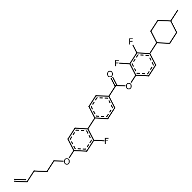 C=CCCCOc1ccc(-c2ccc(C(=O)Oc3ccc(C4CCC(C)CC4)c(F)c3F)cc2)c(F)c1